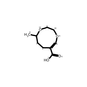 CC1CCC(C(=O)O)=COCCO1